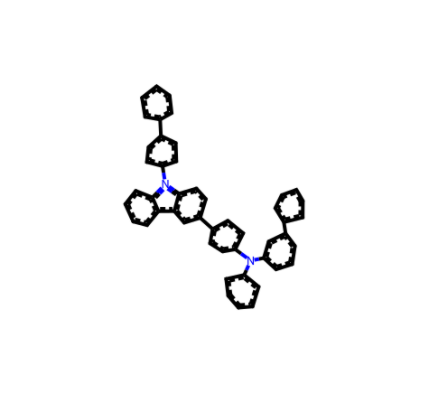 c1ccc(-c2ccc(-n3c4ccccc4c4cc(-c5ccc(N(c6ccccc6)c6cccc(-c7ccccc7)c6)cc5)ccc43)cc2)cc1